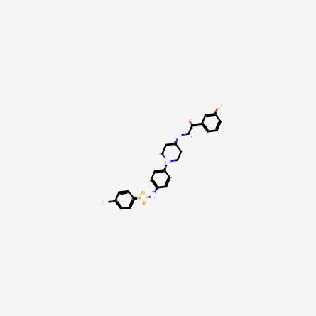 CC(=O)Nc1ccc(S(=O)(=O)Nc2ccc(N3CCC(NCC(O)c4cccc(O)c4)CC3)cc2)cc1